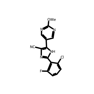 COc1ncc(-c2[nH]c(-c3c(F)cccc3Cl)nc2C#N)cn1